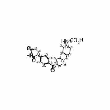 O=C(O)NN1CCC(CN2CCN(C(=O)c3ccc(N4CCC(=O)NC4=O)cc3)CC2)CC1